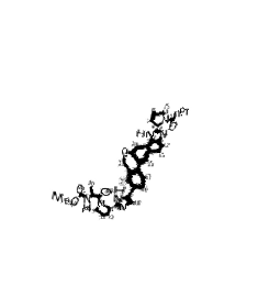 CCCC(=O)N1[C@@H](C)CC[C@H]1c1nc2ccc3cc4c(cc3c2[nH]1)OCc1cc(-c2cnc([C@@H]3CC[C@H](C)N3C(=O)C(C)NC(=O)OC)[nH]2)ccc1-4